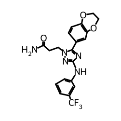 NC(=O)CCn1nc(Nc2cccc(C(F)(F)F)c2)nc1-c1ccc2c(c1)OCCO2